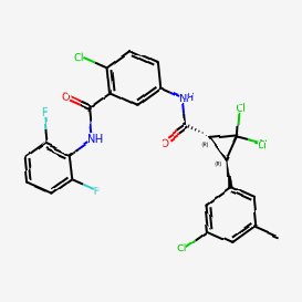 Cc1cc(Cl)cc([C@H]2[C@H](C(=O)Nc3ccc(Cl)c(C(=O)Nc4c(F)cccc4F)c3)C2(Cl)Cl)c1